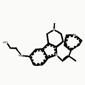 C/C(=C/n1c2c(c3cc(NCCO)ccc31)CN(C)CC2)c1ccncc1